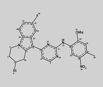 CCC1CCn2c(c(-c3ccnc(Nc4cc([N+](=O)[O-])c(C)cc4OC)n3)c3cc(F)ccc32)C1